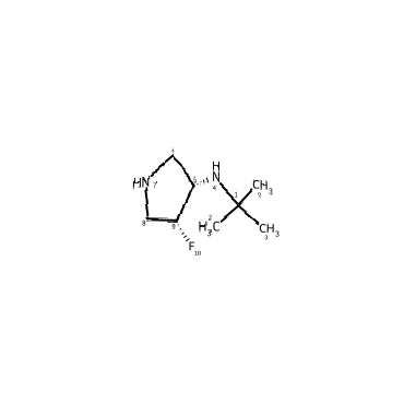 CC(C)(C)N[C@H]1CNC[C@H]1F